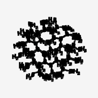 BBB(B)B(B(B)B)B(B(B(B)B)B(B)B)B(B(B(B(B)B)B(B)B)B(B(B)B)B(B)B)B(B(B(B(B(B)B)B(B)B)B(B(B)B)B(B)B)B(B(B(B)B)B(B)B)B(B(B)B)B(B)B)B(B(B(B(B)B)B(B)B)B(B(B)B)B(B)B)B(B(B(B)B)B(B)B)B(B(B)B)B(B)B